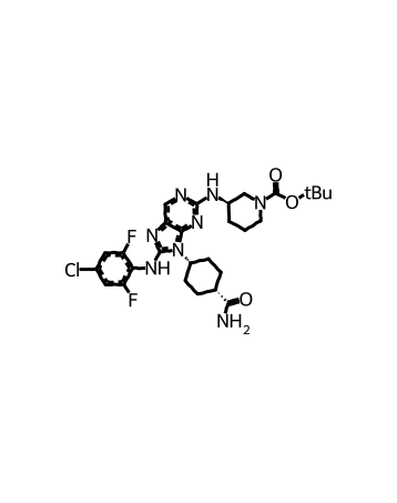 CC(C)(C)OC(=O)N1CCC[C@@H](Nc2ncc3nc(Nc4c(F)cc(Cl)cc4F)n([C@H]4CC[C@@H](C(N)=O)CC4)c3n2)C1